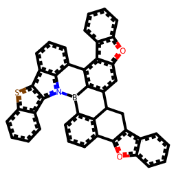 c1cc2c3c(c1)-c1oc4ccccc4c1CC3c1cc3oc4ccccc4c3c3c1B2n1c2c-3cccc2c2sc3ccccc3c21